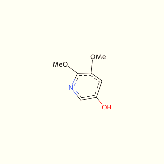 COc1cc(O)cnc1OC